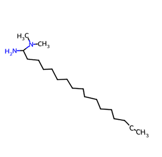 CCCCCCCCCCCCCCCCC(N)N(C)C